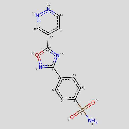 NS(=O)(=O)c1ccc(-c2noc(-c3ccnnc3)n2)cc1